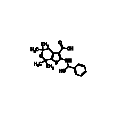 CC1(C)Cc2c(sc(NC(O)c3ccccc3)c2C(=O)O)C(C)(C)O1